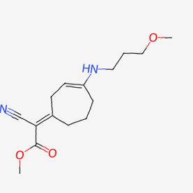 COCCCNC1=CC/C(=C(\C#N)C(=O)OC)CCC1